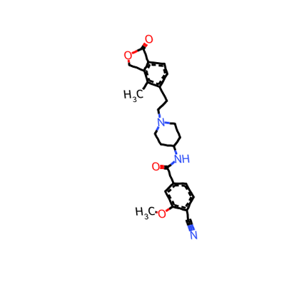 COc1cc(C(=O)NC2CCN(CCc3ccc4c(c3C)COC4=O)CC2)ccc1C#N